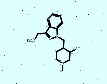 CCOC(=O)Cc1nn(CC2CCN(C)CC2F)c2ccccc12